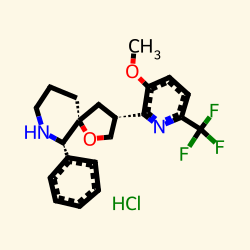 COc1ccc(C(F)(F)F)nc1[C@@H]1CO[C@]2(CCCN[C@H]2c2ccccc2)C1.Cl